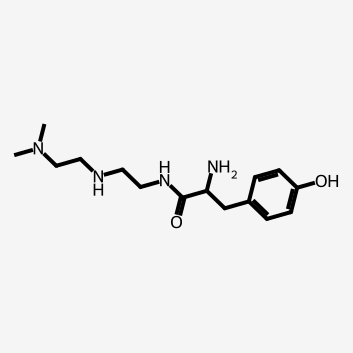 CN(C)CCNCCNC(=O)C(N)Cc1ccc(O)cc1